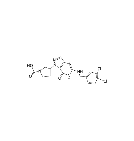 O=C(O)N1CCC(n2ncc3nc(NCc4ccc(Cl)c(Cl)c4)[nH]c(=O)c32)C1